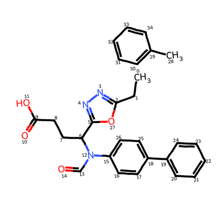 CCc1nnc(C(CCC(=O)O)N(C=O)c2ccc(-c3ccccc3)cc2)o1.Cc1ccccc1